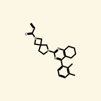 C=CC(=O)N1CC2(CCN(c3nc4c(c(-c5cccc(C)c5C)n3)CCCC4)C2)C1